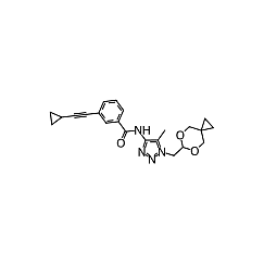 Cc1c(NC(=O)c2cccc(C#CC3CC3)c2)nnn1CC1OCC2(CC2)CO1